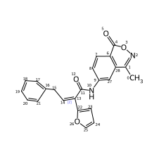 Cc1noc(=O)c2ccc(NC(=O)/C(=C\Cc3ccccc3)c3ccco3)cc12